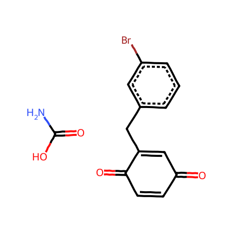 NC(=O)O.O=C1C=CC(=O)C(Cc2cccc(Br)c2)=C1